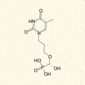 Cc1cn(CCCO[C@H](O)P(=O)(O)O)c(=O)[nH]c1=O